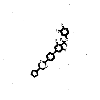 Fc1ccc(OC(F)(F)c2c(F)cc(-c3ccc(C4OCC(C5CCCC5)CO4)cc3)cc2F)cc1F